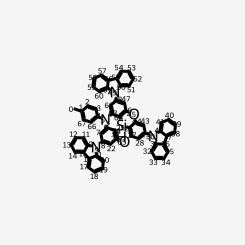 Cc1ccc(N2c3cc(-n4c5ccccc5c5ccccc54)cc4c3[SiH]3c5c(cc(-n6c7ccccc7c7ccccc76)cc5Oc5cc(-n6c7ccccc7c7ccccc76)cc2c53)O4)cc1